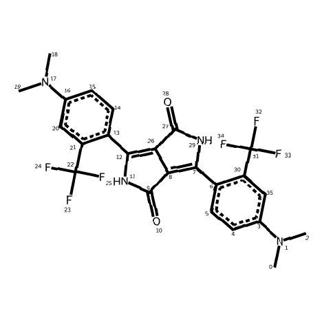 CN(C)c1ccc(C2=C3C(=O)NC(c4ccc(N(C)C)cc4C(F)(F)F)=C3C(=O)N2)c(C(F)(F)F)c1